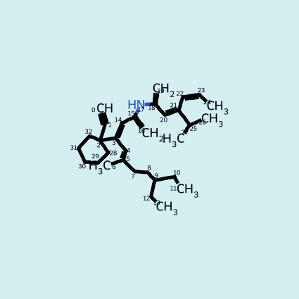 C#CC1(C(/C=C(\C)CCC(CC)CC)=C/C(=C)NC(=C)/C=C(\C=C/C)C(C)C)CCCCC1